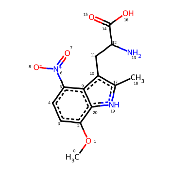 COc1ccc([N+](=O)[O-])c2c(CC(N)C(=O)O)c(C)[nH]c12